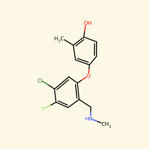 CNCc1cc(F)c(Cl)cc1Oc1ccc(O)c(C)c1